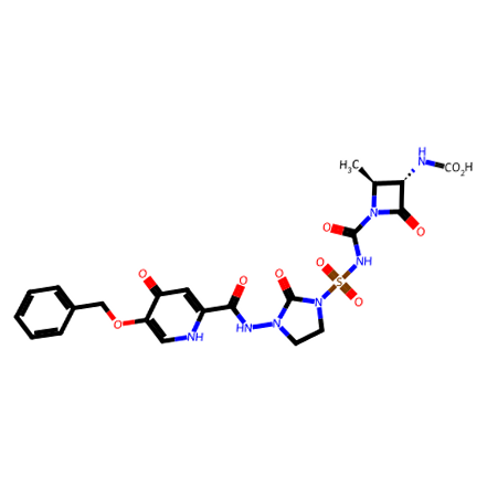 C[C@H]1[C@H](NC(=O)O)C(=O)N1C(=O)NS(=O)(=O)N1CCN(NC(=O)c2cc(=O)c(OCc3ccccc3)c[nH]2)C1=O